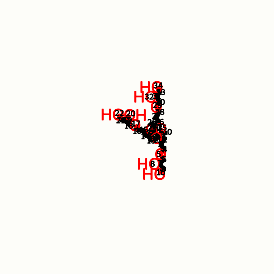 C[Si]1(CCCOCC(O)CO)O[Si](C)(CCCOCC(O)CO)O[Si](C)(CCCOCC(O)CO)O1